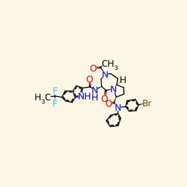 CC(=O)N1CC[C@H]2CC[C@@H](C(=O)N(c3ccccc3)c3ccc(Br)cc3)N2C(=O)[C@@H](NC(=O)c2cc3cc(C(C)(F)F)ccc3[nH]2)C1